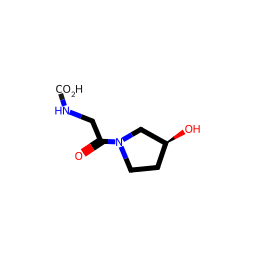 O=C(O)NCC(=O)N1CC[C@H](O)C1